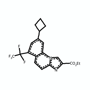 CCOC(=O)c1cn2c(ccc3c(C(F)(F)C(F)(F)F)cc(C4CCC4)cc32)n1